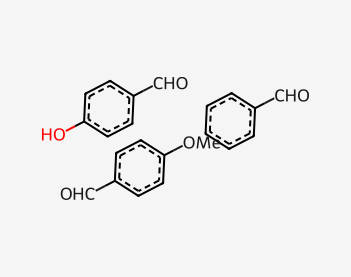 COc1ccc(C=O)cc1.O=Cc1ccc(O)cc1.O=Cc1ccccc1